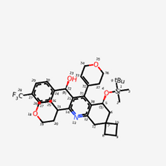 CC(C)(C)[Si](C)(C)O[C@H]1CC2(CCC2)Cc2nc(C3CCOCC3)c([C@H](O)c3ccc(C(F)(F)F)cc3)c(C3=CCOCC3)c21